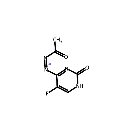 CC(=O)/N=N\c1nc(=O)[nH]cc1F